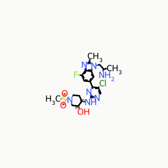 Cc1nc2c(F)cc(-c3nc(N[C@@H]4CCN(S(C)(=O)=O)C[C@H]4O)ncc3Cl)cc2n1CC(C)N